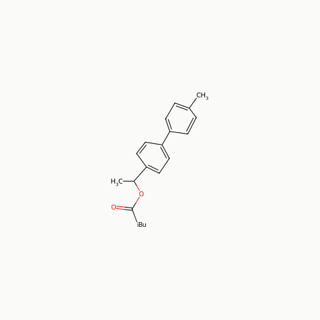 CCC(C)C(=O)OC(C)c1ccc(-c2ccc(C)cc2)cc1